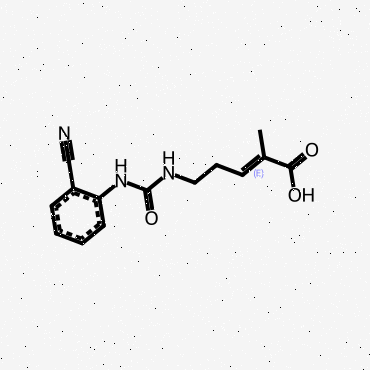 C/C(=C\CCNC(=O)Nc1ccccc1C#N)C(=O)O